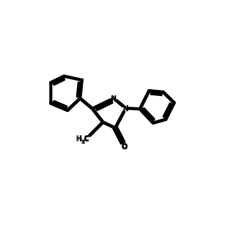 CC1C(=O)N(c2ccccc2)N=C1c1ccccc1